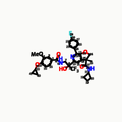 COc1cc(C(=O)NCC(O)(c2cc3c(c(-c4ccc(F)cc4)n2)OC[C@]3(C)C(=O)NC2CCC2)C(F)(F)F)ccc1OC1CC1